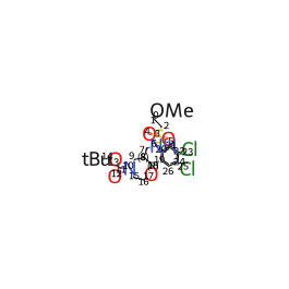 COCCS(=O)(=O)NC[C@@H]1CN(C(=O)OC(C)(C)C)CCO[C@H]1c1ccc(Cl)c(Cl)c1